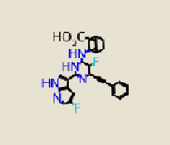 O=C(O)C1C2CCC(CC2)C1NC1NC(c2c[nH]c3ncc(F)cc23)=NC(C#Cc2ccccc2)=C1F